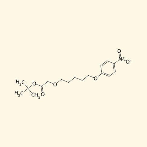 CC(C)(C)OC(=O)COCCCCCOc1ccc([N+](=O)[O-])cc1